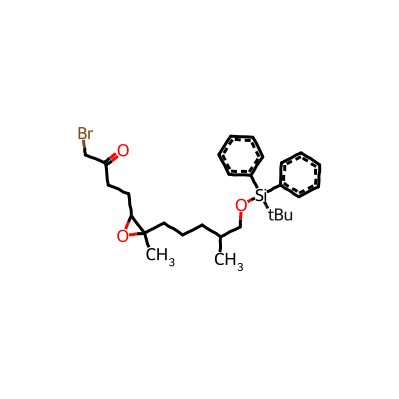 CC(CCCC1(C)OC1CCC(=O)CBr)CO[Si](c1ccccc1)(c1ccccc1)C(C)(C)C